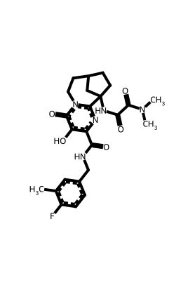 Cc1cc(CNC(=O)c2nc3n(c(=O)c2O)CCC2CCC3(NC(=O)C(=O)N(C)C)C2)ccc1F